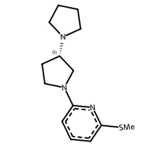 CSc1cccc(N2CC[C@H](N3CCCC3)C2)n1